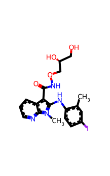 Cc1cc(I)ccc1Nc1c(C(=O)NOC[C@@H](O)CO)c2cccnc2n1C